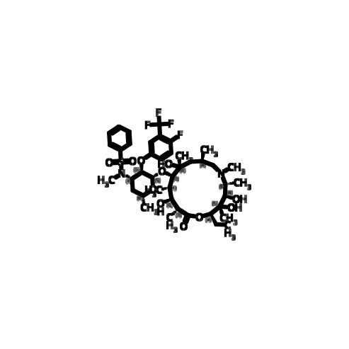 CC[C@H]1OC(=O)[C@H](C)[C@@H](O)[C@H](C)[C@@H](O[C@@H]2O[C@H](C)C[C@H](N(C)S(=O)(=O)c3ccccc3)[C@H]2Oc2ccc(F)c(C(F)(F)F)c2)[C@](C)(O)C[C@@H](C)CN(C)[C@H](C)[C@@H](O)[C@]1(C)O